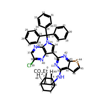 CCOC(=O)[C@@H]1C2CCC(CC2)[C@H]1Nc1nc(-c2cn(C(c3ccccc3)(c3ccccc3)c3ccccc3)c3ncc(Cl)nc23)nc2sccc12